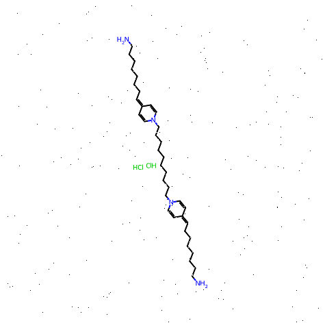 Cl.Cl.NCCCCCCCC=C1C=CN(CCCCCCCCCCN2C=CC(=CCCCCCCCN)C=C2)C=C1